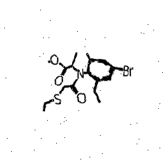 CCSCC(=O)N(c1c(C)cc(Br)cc1CC)C(C)C(=O)OC